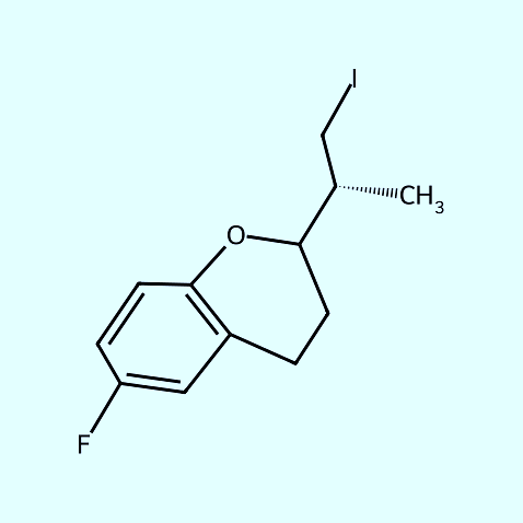 C[C@@H](CI)C1CCc2cc(F)ccc2O1